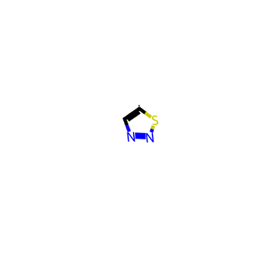 [c]1cnns1